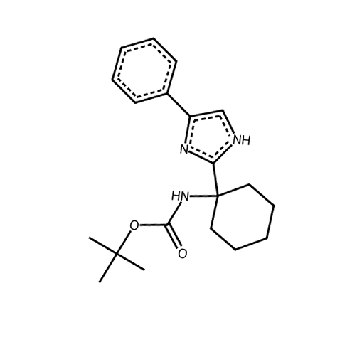 CC(C)(C)OC(=O)NC1(c2nc(-c3ccccc3)c[nH]2)CCCCC1